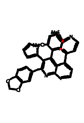 COc1ccccc1-c1c(-c2cccs2)c(-c2ccc3c(c2)OCO3)nc2[c]ccc(-c3ccnc(SC)n3)c12